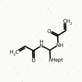 C=CC(=O)NC(CCCCCCC)NC(=O)C=C